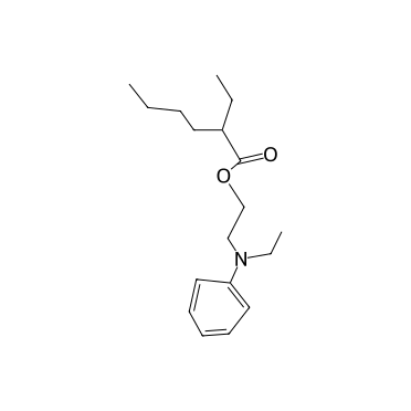 CCCCC(CC)C(=O)OCCN(CC)c1ccccc1